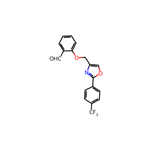 O=Cc1ccccc1OCc1coc(-c2ccc(C(F)(F)F)cc2)n1